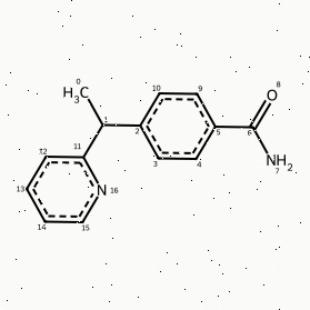 CC(c1ccc(C(N)=O)cc1)c1ccccn1